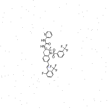 C[C@@H]1[C@H](NC(=O)Nc2ccccn2)Cc2ccc(/C=C/c3c(F)cccc3C(F)(F)F)cc2N1S(=O)(=O)c1cccc(C(F)(F)F)c1